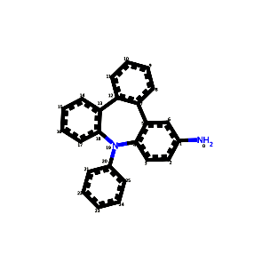 Nc1ccc2c(c1)-c1ccccc1-c1ccccc1N2c1ccccc1